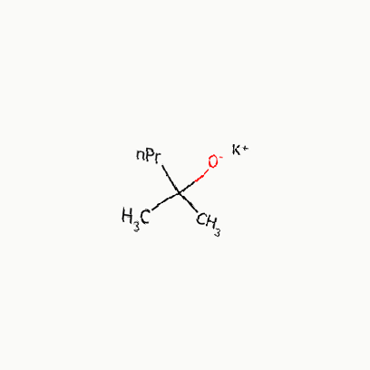 CCCC(C)(C)[O-].[K+]